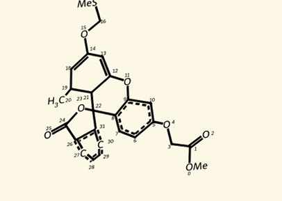 COC(=O)COc1ccc2c(c1)OC1=CC(OCSC)=CC(C)C1C21OC(=O)c2ccccc21